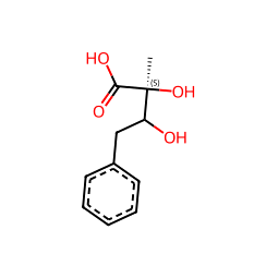 C[C@@](O)(C(=O)O)C(O)Cc1ccccc1